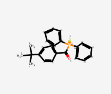 CC(C)(C)c1ccc(C(=O)P(=S)(c2ccccc2)c2ccccc2)cc1